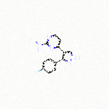 CC(C)Nc1nccc(-c2c[nH]nc2-c2ccc(F)cc2)n1